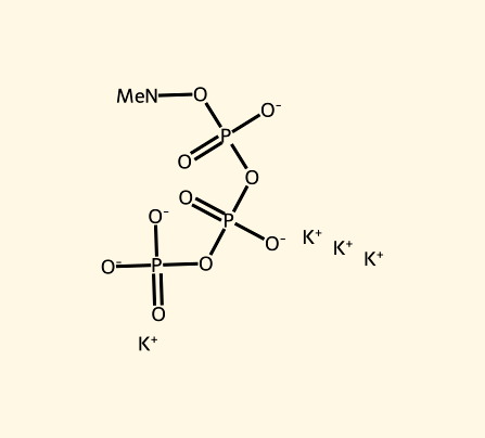 CNOP(=O)([O-])OP(=O)([O-])OP(=O)([O-])[O-].[K+].[K+].[K+].[K+]